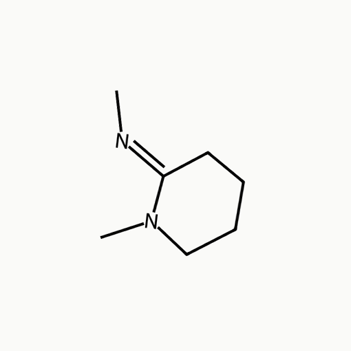 C/N=C1\CCCCN1C